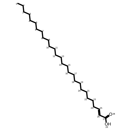 CCCCCCCCCCCCCCCCCCCCCCCCCC=CC(=O)O